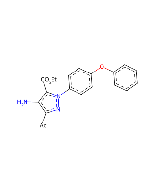 CCOC(=O)c1c(N)c(C(C)=O)nn1-c1ccc(Oc2ccccc2)cc1